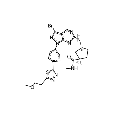 CNC(=O)[C@]1(C)CC[C@@H](Nc2ncc3c(Br)nn(-c4ccc(-c5nnc(CCOC)s5)cc4)c3n2)C1